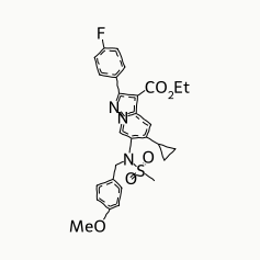 CCOC(=O)c1c(-c2ccc(F)cc2)nn2cc(N(Cc3ccc(OC)cc3)S(C)(=O)=O)c(C3CC3)cc12